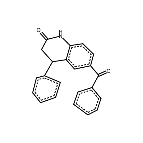 O=C1CC(c2ccccc2)c2cc(C(=O)c3ccccc3)ccc2N1